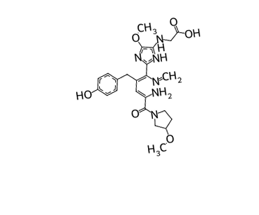 C=N/C(=C(\C=C(/N)C(=O)N1CCC(OC)C1)Cc1ccc(O)cc1)c1nc(OC)c(NCC(=O)O)[nH]1